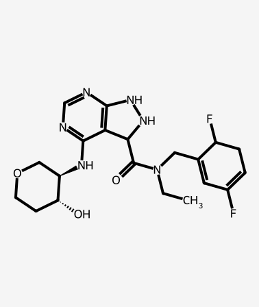 CCN(CC1=CC(F)=CCC1F)C(=O)C1NNc2ncnc(N[C@@H]3COCC[C@H]3O)c21